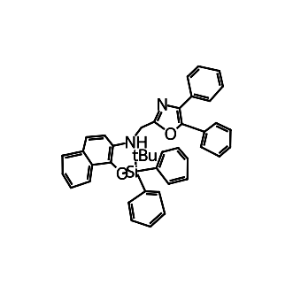 CC(C)(C)[Si](Oc1c(NCc2nc(-c3ccccc3)c(-c3ccccc3)o2)ccc2ccccc12)(c1ccccc1)c1ccccc1